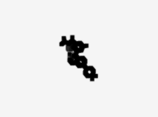 Cc1cc(-c2nccc3cc(C4CCC(C)(C)CC4)ccc23)c2oc(C(C)C)c(C)c2c1